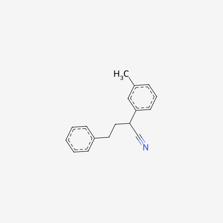 Cc1cccc(C(C#N)CCc2ccccc2)c1